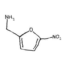 NCc1ccc([N+](=O)[O-])o1